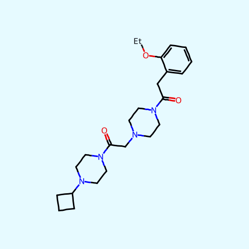 CCOc1ccccc1CC(=O)N1CCN(CC(=O)N2CCN(C3CCC3)CC2)CC1